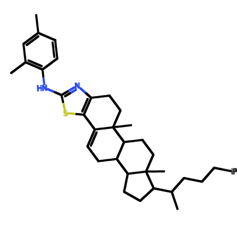 Cc1ccc(Nc2nc3c(s2)C2=CCC4C(CCC5(C)C(C(C)CCCC(C)C)CCC45)C2(C)CC3)c(C)c1